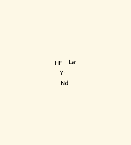 F.[La].[Nd].[Y]